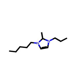 CCCCCN1C=CN(CCC)C1C